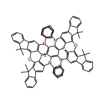 CC1(C)c2ccccc2-c2cc3c4c(c21)Oc1c2c(cc5c1P4(=S)c1c(c4c6c(c1N5c1ccccc1)N(c1ccccc1)c1cc5c(c7c1P6(=S)c1c(cc6c(c1O7)C(C)(C)c1ccccc1-6)N4c1ccccc1)C(C)(C)c1ccccc1-5)N3c1ccccc1)-c1ccccc1C2(C)C